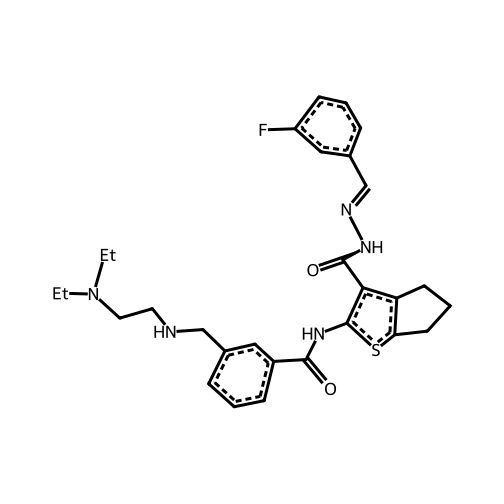 CCN(CC)CCNCc1cccc(C(=O)Nc2sc3c(c2C(=O)NN=Cc2cccc(F)c2)CCC3)c1